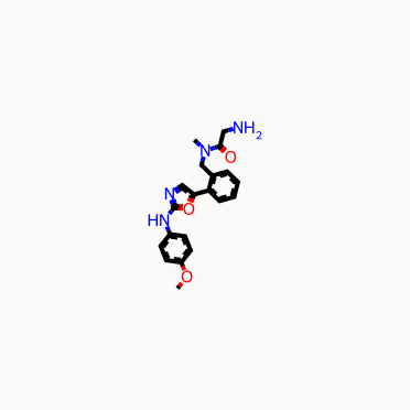 COc1ccc(Nc2ncc(-c3ccccc3CN(C)C(=O)CN)o2)cc1